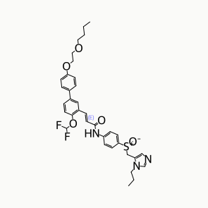 CCCCOCCOc1ccc(-c2ccc(OC(F)F)c(/C=C/C(=O)Nc3ccc([S+]([O-])Cc4cncn4CCC)cc3)c2)cc1